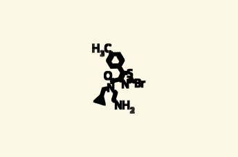 Cc1ccc(-c2sc(Br)nc2C(=O)N(CCN)CC2CC2)cc1